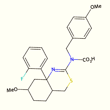 COc1ccc(CN(C(=O)O)C2=NC3(c4ccccc4F)CC(OC)CCC3CS2)cc1